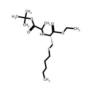 CCCCCSC[C@H](NC(C)C(=O)OC(C)(C)C)C(=O)OCC